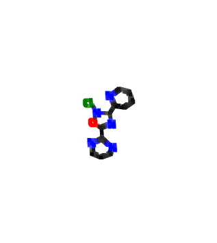 ClN1OC(c2ncccn2)=NC1c1ccccn1